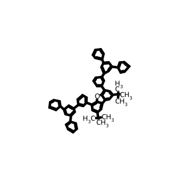 CC(C)(C)c1cc(-c2cccc(-c3cc(-c4ccccc4)cc(-c4ccccc4)c3)c2)c2oc3c(-c4cccc(-c5cc(-c6ccccc6)cc(-c6ccccc6)c5)c4)cc(C(C)(C)C)cc3c2c1